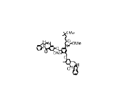 COCCN(CC(=O)CCC(C)(C)SC)c1cc(COc2cc3c(cc2C)C(=O)N2c4ccccc4C[C@H]2CC3)cc(COc2cc3c(cc2OC)C(=O)N2c4ccccc4C[C@H]2C=N3)c1